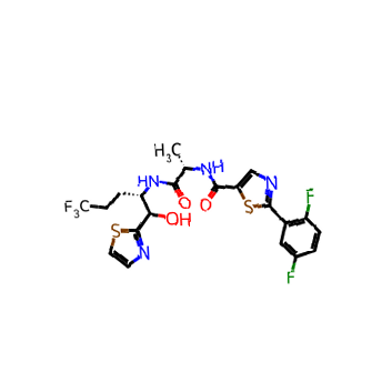 C[C@H](NC(=O)c1cnc(-c2cc(F)ccc2F)s1)C(=O)N[C@@H](CCC(F)(F)F)C(O)c1nccs1